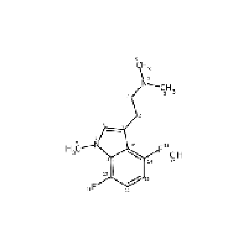 CN(C)CCc1cn(C)c2c(F)ccc(F)c12.Cl